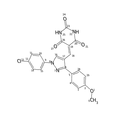 COc1ccc(-c2nn(-c3ccc(Cl)cc3)cc2C=C2C(=O)NC(=O)NC2=O)cc1